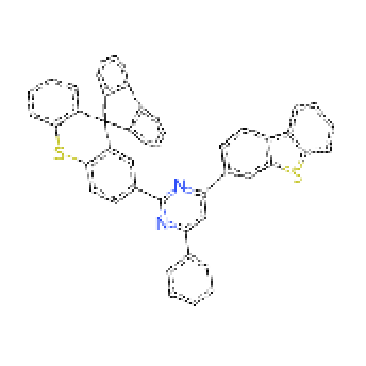 c1ccc(-c2cc(-c3ccc4c(c3)sc3ccccc34)nc(-c3ccc4c(c3)C3(c5ccccc5S4)c4ccccc4-c4ccccc43)n2)cc1